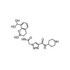 O=C(Cn1cc(C(=O)NC2CCNCC2)nn1)N[C@H]1Cc2cccc(C(O)O)c2OB1O